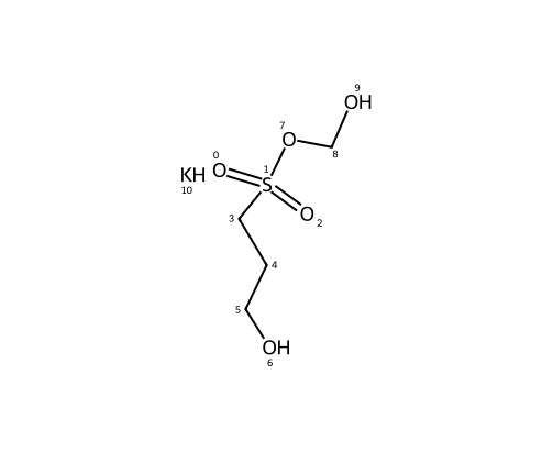 O=S(=O)(CCCO)OCO.[KH]